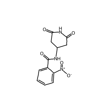 O=C1CC(NC(=O)c2ccccc2[N+](=O)[O-])CC(=O)N1